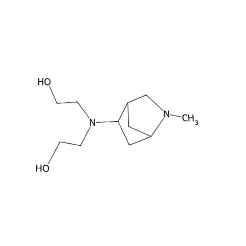 CN1CC2CC1CC2N(CCO)CCO